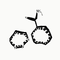 NC(=S)c1ccccc1.c1cnnnc1